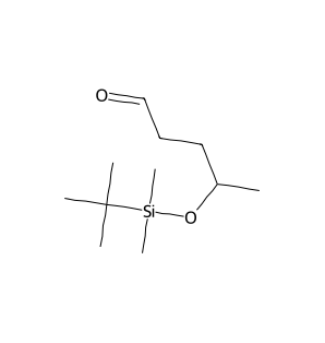 CC(CCC=O)O[Si](C)(C)C(C)(C)C